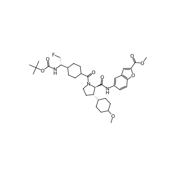 COC(=O)c1cc2cc(NC(=O)[C@H]3[C@H](C4CCC(OC)CC4)CCN3C(=O)C3CCC([C@@H](CF)NC(=O)OC(C)(C)C)CC3)ccc2o1